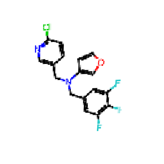 Fc1cc(CN(Cc2ccc(Cl)nc2)c2ccoc2)cc(F)c1F